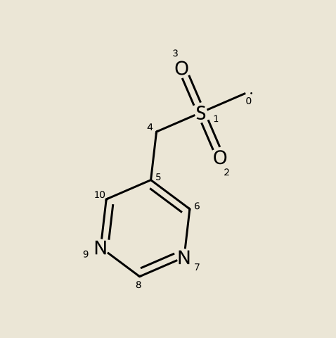 [CH2]S(=O)(=O)Cc1cncnc1